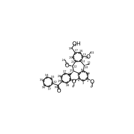 COc1cc(OC)c2c(c1)[C@H](C)c1c(OC)cc(CO)cc1[C@H](OC)[C@@H]2c1ccc(C(=O)c2ccccc2)cc1